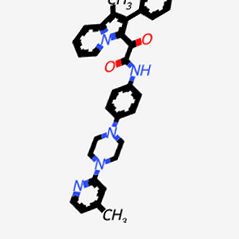 Cc1ccnc(N2CCN(c3ccc(NC(=O)C(=O)c4c(-c5ccccc5)c(C)c5ccccn45)cc3)CC2)c1